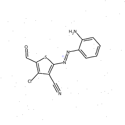 N#Cc1c(/N=N/c2ccccc2N)sc(C=O)c1Cl